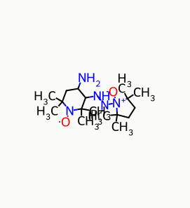 C[C](C)N(NC1C(N)CC(C)(C)N([O])C1(C)C)[N+]1([O])C(C)(C)CCC1(C)C